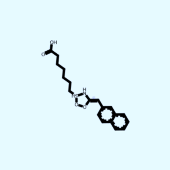 O=C(O)CCCCCC[SH]1N/C(=C/c2ccc3ccccc3c2)OO1